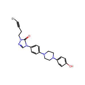 CCC#CCCn1ncn(-c2ccc(N3CCN(c4ccc(O)cc4)CC3)cc2)c1=O